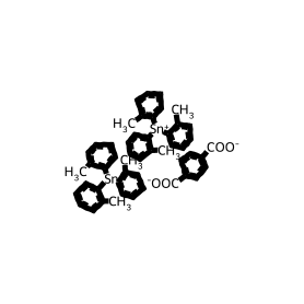 Cc1cccc[c]1[Sn+]([c]1ccccc1C)[c]1ccccc1C.Cc1cccc[c]1[Sn+]([c]1ccccc1C)[c]1ccccc1C.O=C([O-])c1ccc(C(=O)[O-])cc1